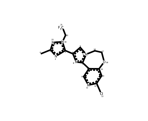 Cc1nc(-c2cn3c(n2)-c2cnc(Cl)cc2OCC3)n(CC(F)(F)F)n1